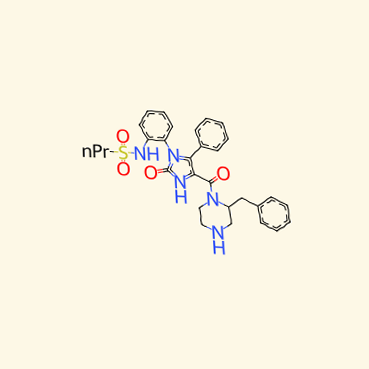 CCCS(=O)(=O)Nc1ccccc1-n1c(-c2ccccc2)c(C(=O)N2CCNCC2Cc2ccccc2)[nH]c1=O